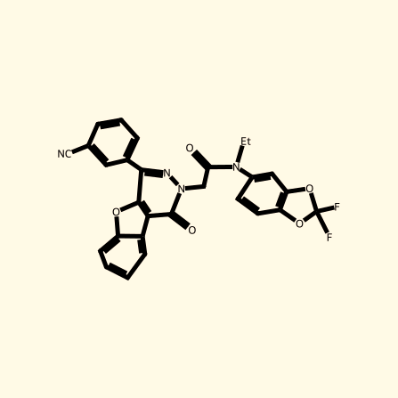 CCN(C(=O)Cn1nc(-c2cccc(C#N)c2)c2oc3ccccc3c2c1=O)c1ccc2c(c1)OC(F)(F)O2